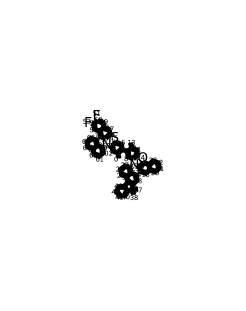 Cc1cc2c(cc1-c1cc3c(cc1C)Oc1c(ccc4ccccc14)N3c1cccc3c4c(ccc13)C(C)(C)c1ccccc1-4)Sc1cc3cc(F)c(F)cc3cc1N2c1cccc2ccccc12